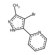 Cc1n[nH]c(-c2ccccn2)c1Br